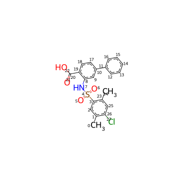 Cc1cc(S(=O)(=O)Nc2cc(-c3ccccc3)ccc2C(=O)O)c(C)cc1Cl